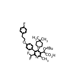 Cc1nc(C(F)F)c(-c2ccc(OCCc3ccc(F)cc3)cc2)c(N2CCC(C)(C)CC2)c1C(OC(C)(C)C)C(=O)O